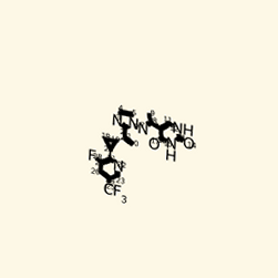 C=C(c1nccn1/N=C(\C)c1c[nH]c(=O)[nH]c1=O)[C@H]1C[C@@H]1c1ncc(C(F)(F)F)cc1F